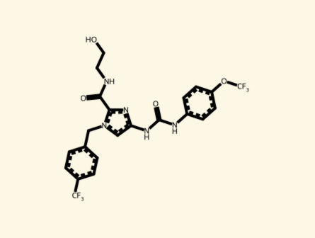 O=C(Nc1ccc(OC(F)(F)F)cc1)Nc1cn(Cc2ccc(C(F)(F)F)cc2)c(C(=O)NCCO)n1